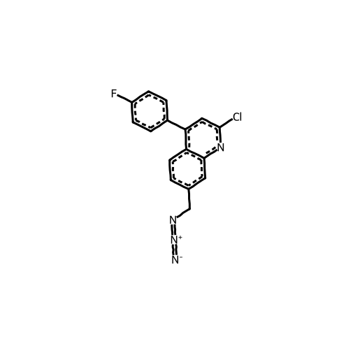 [N-]=[N+]=NCc1ccc2c(-c3ccc(F)cc3)cc(Cl)nc2c1